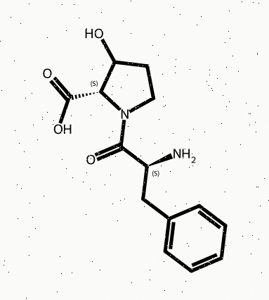 N[C@@H](Cc1ccccc1)C(=O)N1CCC(O)[C@H]1C(=O)O